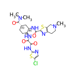 CN1CCc2nc(C(=O)N[C@@H]3C[C@@H](C(=O)N(C)C)CC[C@@H]3NC(=O)C(=O)Nc3ncc(Cl)s3)sc2C1